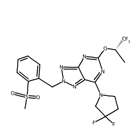 C[C@H](Oc1nc(N2CCC(F)(F)C2)c2nn(Cc3ccccc3S(C)(=O)=O)nc2n1)C(F)(F)F